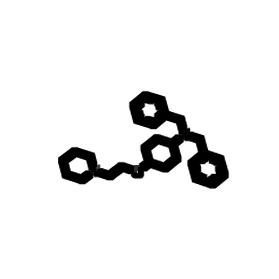 c1ccc(CN(Cc2ccccc2)C2CCC(OCCN3CCCCC3)CC2)cc1